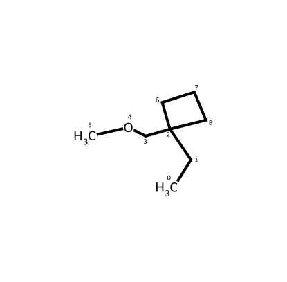 CCC1(COC)CCC1